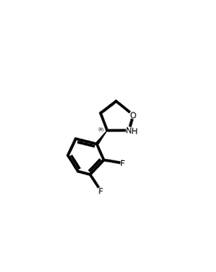 Fc1cccc([C@H]2CCON2)c1F